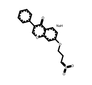 O=c1c(-c2ccccc2)coc2cc(OCCC=S(=O)=O)ccc12.[NaH]